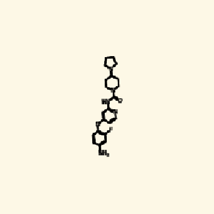 Nc1ccc(Oc2ccnc(NC(=O)N3CCC(N4CCCC4)CC3)c2)c(F)c1